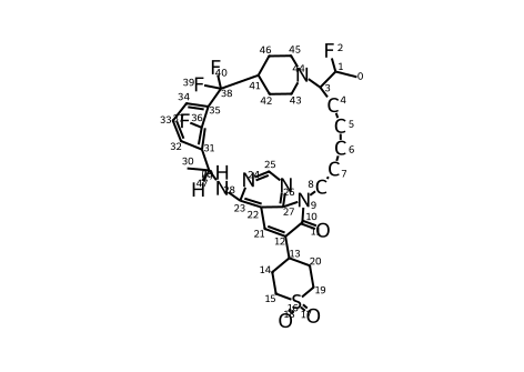 CC(F)C1CCCCCn2c(=O)c(C3CCS(=O)(=O)CC3)cc3c(ncnc32)N[C@H](C)c2cccc(c2F)C(F)(F)C2CCN1CC2